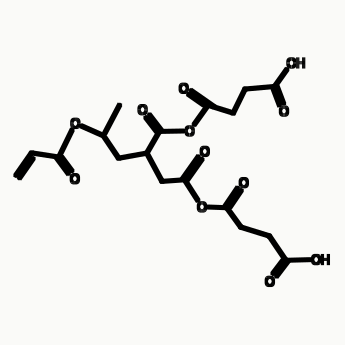 C=CC(=O)OC(C)CC(CC(=O)OC(=O)CCC(=O)O)C(=O)OC(=O)CCC(=O)O